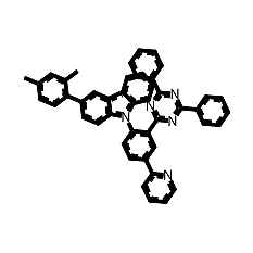 Cc1ccc(-c2ccc3c(c2)c2ccccc2n3-c2ccc(-c3ccccn3)cc2-c2nc(-c3ccccc3)nc(-c3ccccc3)n2)c(C)c1